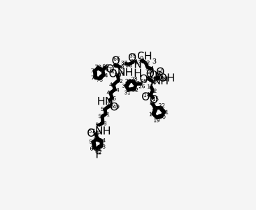 C[C@H](CCCOP(=O)(O)N[C@@H](CCC(=O)OCc1ccccc1)C(=O)OCc1ccccc1)NC(=O)CC[C@H](NC(=O)CCCCCNC(=O)CCCCCNC(=O)c1ccc(F)cc1)C(=O)OCc1ccccc1